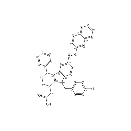 O=C(O)CC1CCC(c2ccccc2)c2c1n(Cc1ccc(Cl)cc1)c1ccc(OCc3ccc4ccccc4n3)cc21